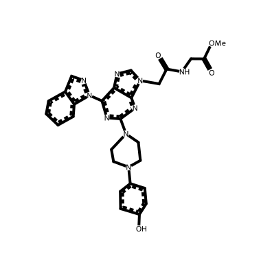 COC(=O)CNC(=O)Cn1cnc2c(-n3ncc4ccccc43)nc(N3CCN(c4ccc(O)cc4)CC3)nc21